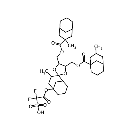 CC1CC2CCCC(C(=O)OCC3OC4(OC3COC(=O)C3(C)CC5CCCC(C5)C3)C(C)CC3(OC(=O)C(F)(F)S(=O)(=O)O)CCCC4C3)(C1)C2